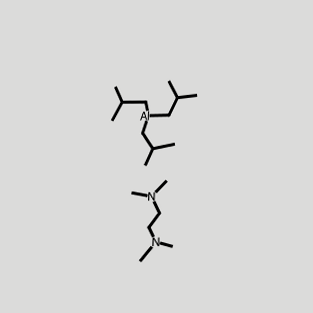 CC(C)[CH2][Al]([CH2]C(C)C)[CH2]C(C)C.CN(C)CCN(C)C